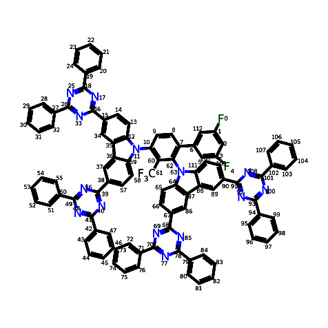 Fc1cc(F)cc(-c2ccc(-n3c4ccc(-c5nc(-c6ccccc6)nc(-c6ccccc6)n5)cc4c4cc(-c5nc(-c6ccccc6)nc(-c6ccccc6)n5)ccc43)c(C(F)(F)F)c2-n2c3ccc(-c4nc(-c5ccccc5)nc(-c5ccccc5)n4)cc3c3cc(-c4nc(-c5ccccc5)nc(-c5ccccc5)n4)ccc32)c1